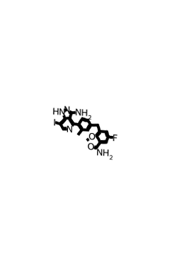 COc1c(Cc2ccc(-c3ncc(I)c4[nH]nc(N)c34)c(C)c2)cc(F)cc1C(N)=O